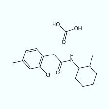 Cc1ccc(CC(=O)NC2CCCCC2C)c(Cl)c1.O=C(O)O